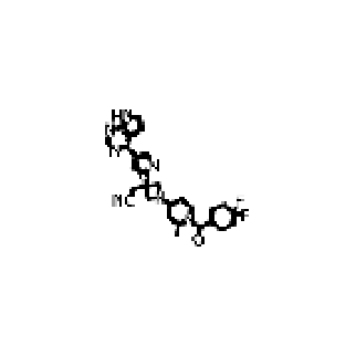 CC1CC(N2CC(CC#N)(n3cc(-c4ncnc5[nH]ccc45)cn3)C2)CCN1C(=O)C1CCC(F)(F)CC1